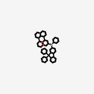 c1ccc(-c2cccc3cccc(-c4cccc(N(c5ccccc5)c5ccc6c(c5)C(c5ccccc5)(c5ccccc5)c5ccccc5-6)c4)c23)cc1